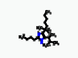 CCCCCC(C)(C)c1nc(CCCC)[nH]c1C(C)C(C)C